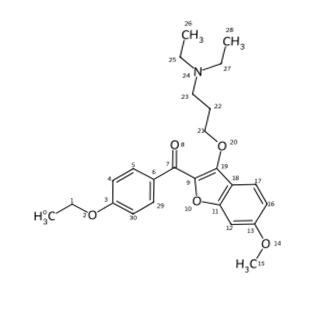 CCOc1ccc(C(=O)c2oc3cc(OC)ccc3c2OCCCN(CC)CC)cc1